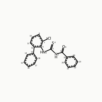 O=C(NC(=S)Nc1c(Cl)cccc1-c1ccccc1)c1ccccc1